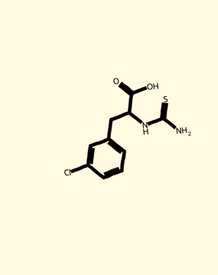 NC(=S)NC(Cc1cccc(Cl)c1)C(=O)O